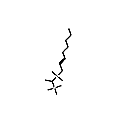 CCCCCC=CC[Si](C)(C)C(C)[Si](C)(C)C